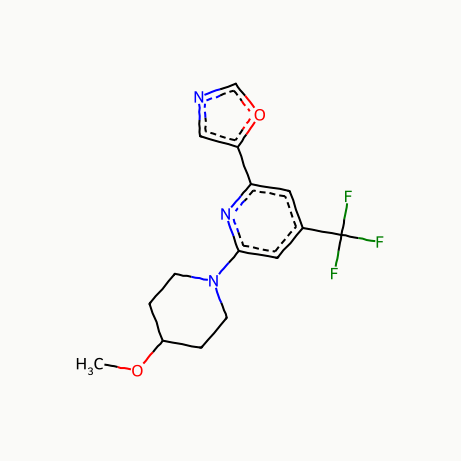 COC1CCN(c2cc(C(F)(F)F)cc(-c3cnco3)n2)CC1